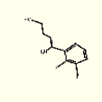 NC(CCCO)c1cccc(F)c1F